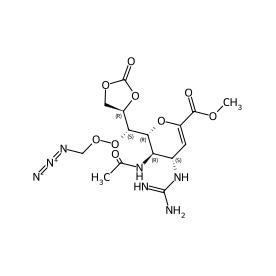 COC(=O)C1=C[C@H](NC(=N)N)[C@@H](NC(C)=O)[C@H]([C@H](OOCN=[N+]=[N-])[C@H]2COC(=O)O2)O1